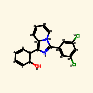 OC1C=CC=CC1c1nc(-c2cc(Cl)cc(Cl)c2)n2ccccc12